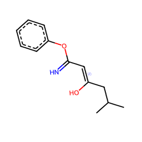 CC(C)C/C(O)=C/C(=N)Oc1ccccc1